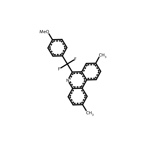 COc1ccc(C(F)(F)c2nc3ccc(C)cc3c3ccc(C)cc23)cc1